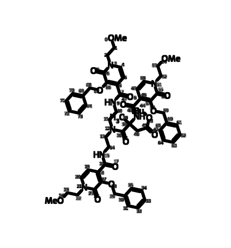 COCCn1ccc(C(=O)NCCN(CCNC(=O)c2ccn(CCOC)c(=O)c2OCc2ccccc2)C(=O)C(C)(CC(=O)OC(C)(C)C)NC(=O)c2ccn(CCOC)c(=O)c2OCc2ccccc2)c(OCc2ccccc2)c1=O